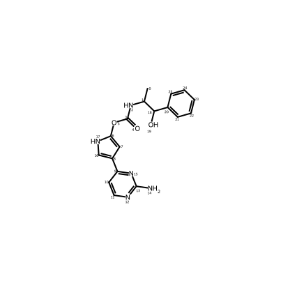 CC(NC(=O)Oc1cc(-c2ccnc(N)n2)c[nH]1)C(O)c1ccccc1